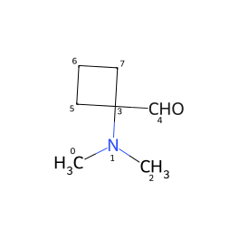 CN(C)C1(C=O)CCC1